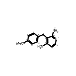 COc1ccc(Cc2c(N)ccnc2N)cc1